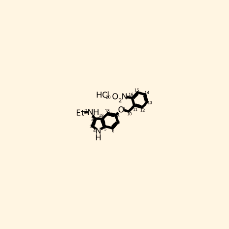 CCNc1c[nH]c2ccc(OCc3ccccc3[N+](=O)[O-])cc12.Cl